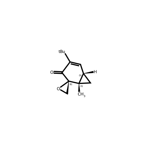 CC(C)(C)C1=C[C@@H]2C[C@]2(C)[C@@]2(CO2)C1=O